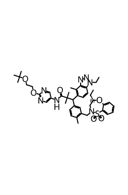 CC[C@@H]1CN(Cc2cc(C(c3ccc4c(nnn4CC)c3C)C(C)(C)C(=O)Nc3cnc(OCCOC(C)(C)C)nc3)ccc2C)S(=O)(=O)c2ccccc2O1